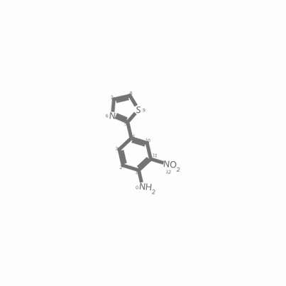 Nc1ccc(-c2nccs2)cc1[N+](=O)[O-]